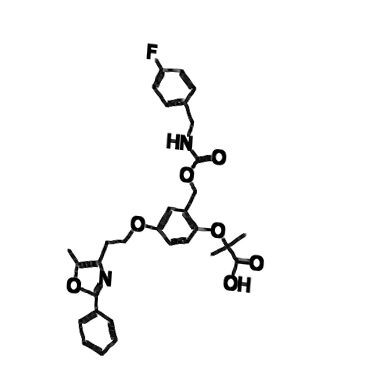 Cc1oc(-c2ccccc2)nc1CCOc1ccc(OC(C)(C)C(=O)O)c(COC(=O)NCc2ccc(F)cc2)c1